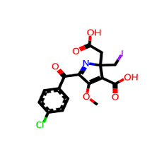 COC1=C(C(=O)O)C(CI)(CC(=O)O)N=C1C(=O)c1ccc(Cl)cc1